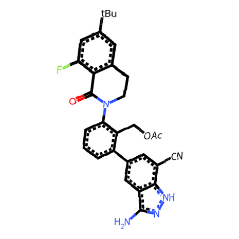 CC(=O)OCc1c(-c2cc(C#N)c3[nH]nc(N)c3c2)cccc1N1CCc2cc(C(C)(C)C)cc(F)c2C1=O